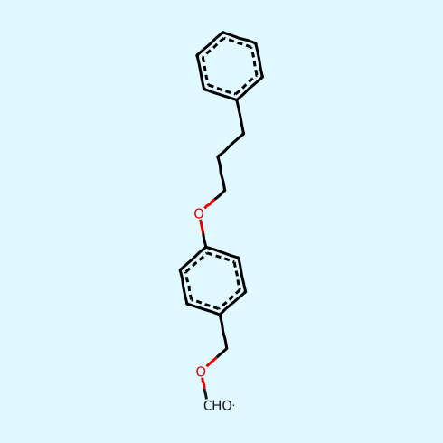 O=[C]OCc1ccc(OCCCc2ccccc2)cc1